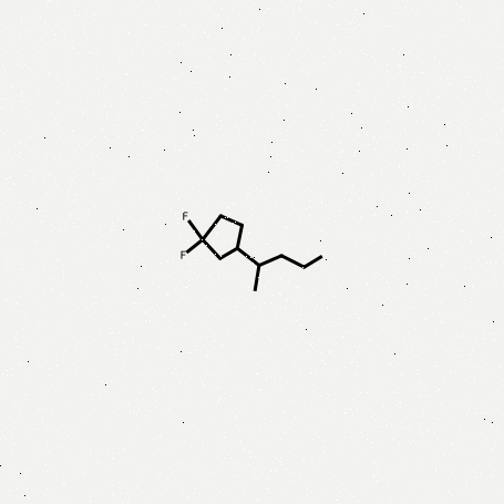 CCCC(C)C1CCC(F)(F)C1